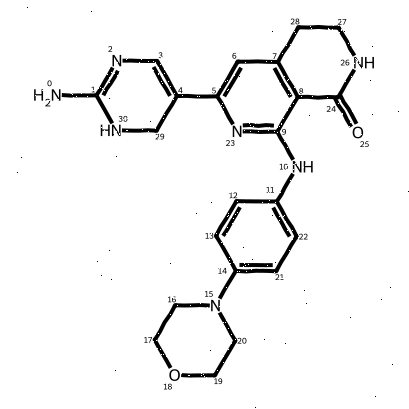 NC1=NC=C(c2cc3c(c(Nc4ccc(N5CCOCC5)cc4)n2)C(=O)NCC3)CN1